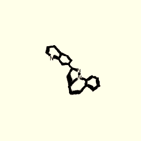 c1cnc2cc(-c3cc4ccc5ccccc5n4n3)ccc2c1